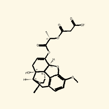 COc1ccc2c3c1O[C@@H]1C(OC(=O)[C@H](C)OC(=O)CC(=O)O)=CC[C@]4(O)[C@H](C2)N(C)CC[C@@]314